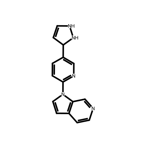 C1=CC(c2ccc(-n3ccc4ccncc43)nc2)NN1